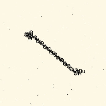 CC(C)(C)OC(O)CCOCCOCCOCCOCCOCCOCCOCCOCCOCCOCCOCCOCCN1C(=O)c2ccccc2C1=O